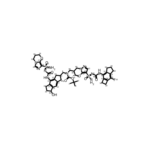 CC(C)(C)OC(=O)N(CC1Cc2cc3c(c(NC(=O)N=S(N)(=O)c4ncn5c4OCCC5)c2C1)CCC3O)CC1COc2c(S(N)(=O)=NC(=O)Nc3c4c(c(F)c5c3CC5)CCC4)cnn2C1